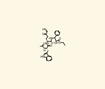 CCOC(=O)C(O)C(NC(=O)[C@H](CCC(=O)C=N)NC(=O)[C@H](Cc1c[nH]c2ccccc12)NC(C)=O)c1ccccc1